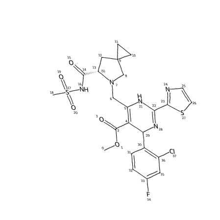 COC(=O)C1=C(CN2CC3(CC3)C[C@H]2C(=O)NS(C)(=O)=O)NC(c2nccs2)=NC1c1ccc(F)cc1Cl